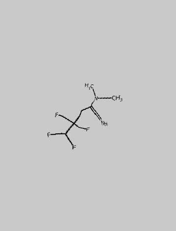 CN(C)C(=N)CC(F)(F)C(F)F